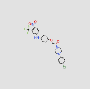 O=C(COC1CCC(Nc2ccc([N+](=O)[O-])c(C(F)(F)F)c2)CC1)N1CCN(c2ccc(Cl)cc2)CC1